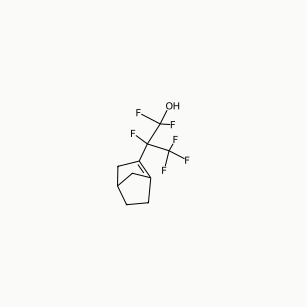 OC(F)(F)C(F)(C1=C2CCC(C2)C1)C(F)(F)F